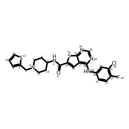 O=C(NC1CCN(Cc2cccs2)CC1)c1cc2c(Nc3ccc(F)c(Cl)c3)ncnc2s1